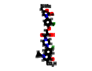 CC(=O)NC[C@H]1CN(c2ccc(OCC(O)C(=O)N3CCN(c4cc5c(cc4F)c(=O)c(C(=O)O)cn5C4CC4)CC3)c(F)c2)C(=O)O1